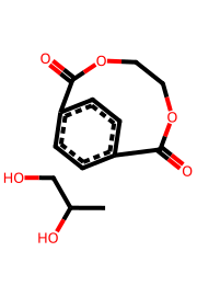 CC(O)CO.O=C1OCCOC(=O)c2ccc1cc2